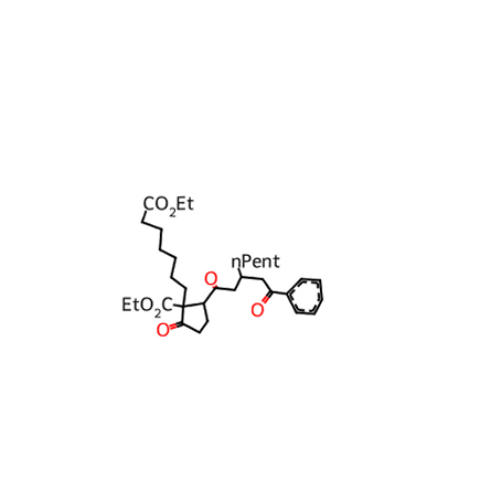 CCCCCC(CC(=O)c1ccccc1)CC(=O)C1CCC(=O)C1(CCCCCCC(=O)OCC)C(=O)OCC